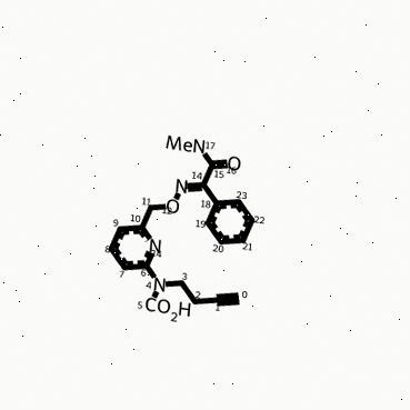 C#CCCN(C(=O)O)c1cccc(CO/N=C(/C(=O)NC)c2ccccc2)n1